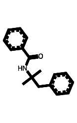 CC(C)(Cc1ccccc1)NC(=O)c1ccccc1